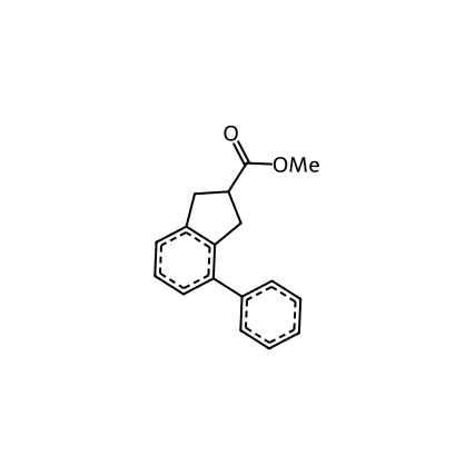 COC(=O)C1Cc2cccc(-c3ccccc3)c2C1